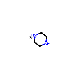 C1CNCCN1.[Zr]